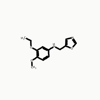 CCOc1cc(NCc2cnco2)ccc1OC